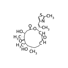 C/C(=C\c1csc(C)n1)[C@@H]1C[C@@H]2O[C@@H]2CCC[C@H](C)[C@H](O)[C@@H](C)C(=O)[C@H](C)C(O)CC(=O)O1